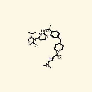 CC(C)[C@H]1COC(=O)N1c1ccnc(N[C@@H](C)c2ccc(CC3CCN(C(=O)/C=C/CN(C)C)CC3)cc2)n1